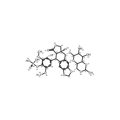 COc1cc(C2c3cc4c(cc3[C@@H](OC3OC5COC(C)OC5C(O)C3N)[C@H]3COC(=O)[C@H]23)OCO4)cc(OC)c1OP(=O)(O)O